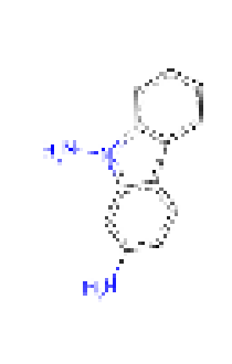 Nc1ccc2c3ccccc3n(N)c2c1